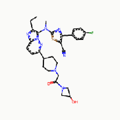 CCc1nc2ccc(C3CCN(CC(=O)N4CC(O)C4)CC3)nn2c1N(C)c1nc(-c2ccc(F)cc2)c(C#N)s1